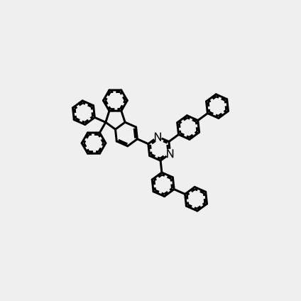 C1=CC2C(C=C1c1cc(-c3cccc(-c4ccccc4)c3)nc(-c3ccc(-c4ccccc4)cc3)n1)c1ccccc1C2(c1ccccc1)c1ccccc1